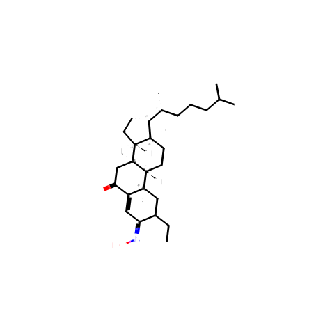 CCC1C[C@@]2(C)C(=CC1=NO)C(=O)C[C@H]1[C@@H]3CC[C@H]([C@H](C)CCCC(C)C)[C@@]3(C)CC[C@@H]12